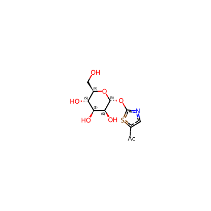 CC(=O)c1cnc(O[C@H]2O[C@H](CO)[C@@H](O)[C@H](O)[C@@H]2O)s1